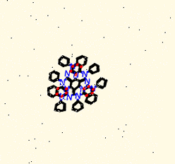 c1ccc(N(c2ccccc2)c2nc(N(c3ccccc3)c3ccccc3)c3c(n2)c2c(N(c4ccccc4)c4ccccc4)nc(N(c4ccccc4)c4ccccc4)nc2c2c(N(c4ccccc4)c4ccccc4)nc(N(c4ccccc4)c4ccccc4)nc32)cc1